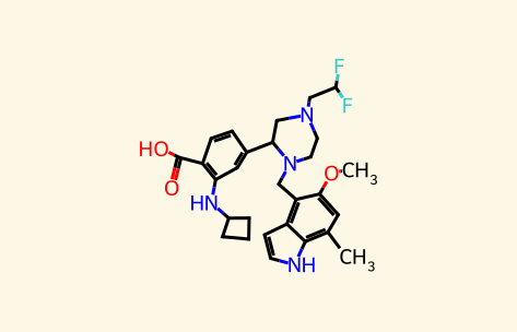 COc1cc(C)c2[nH]ccc2c1CN1CCN(CC(F)F)CC1c1ccc(C(=O)O)c(NC2CCC2)c1